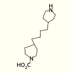 O=C(O)N1CCC(CCCCC2CCNCC2)CC1